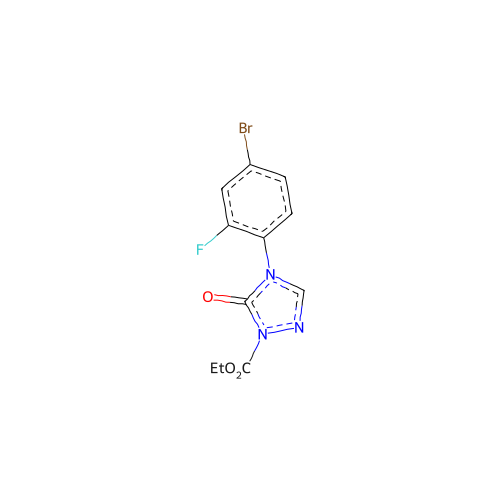 CCOC(=O)n1ncn(-c2ccc(Br)cc2F)c1=O